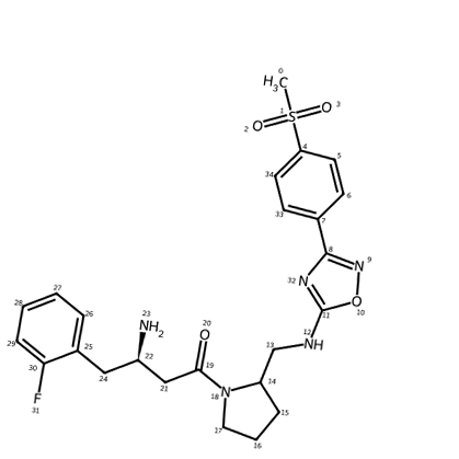 CS(=O)(=O)c1ccc(-c2noc(NCC3CCCN3C(=O)C[C@H](N)Cc3ccccc3F)n2)cc1